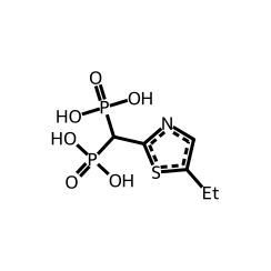 CCc1cnc(C(P(=O)(O)O)P(=O)(O)O)s1